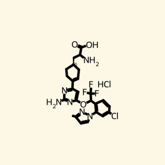 Cc1ccn(-c2cc(Cl)ccc2C(Oc2cc(C3=CC[C@H](CC(N)C(=O)O)CC3)nc(N)n2)C(F)(F)F)n1.Cl